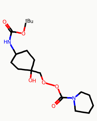 CC(C)(C)OC(=O)NC1CCC(O)(COOC(=O)N2CCCCC2)CC1